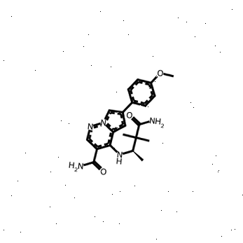 COc1ccc(-c2cc3c(N[C@H](C)C(C)(C)C(N)=O)c(C(N)=O)cnn3c2)cc1